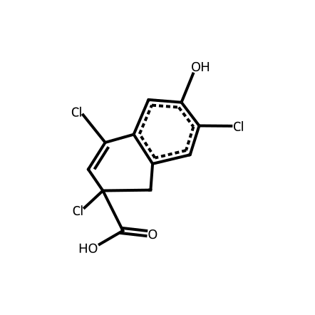 O=C(O)C1(Cl)C=C(Cl)c2cc(O)c(Cl)cc2C1